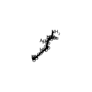 CC[C@H](C)[C@H](NC(=O)CCCCCN)C(=O)Oc1ccc(C(CNC(=O)CCSC2CC(=O)N(CCC(=O)NCCCOCCOCCOCCCNC(=O)CCN3C(=O)C=CC3=O)C2=O)OC(C)=O)cc1OC